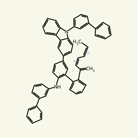 C=C(/C=C\C=C/C)c1ccccc1-c1cc(-c2ccc3c(c2)c2ccccc2n3-c2cccc(-c3ccccc3)c2)ccc1Nc1cccc(-c2ccccc2)c1